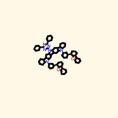 c1ccc(-c2nc(-c3ccccc3)nc(-n3c4cc5c6ccccc6n(-c6cccc(-c7cccc8c7oc7ccccc78)c6)c5cc4c4cc5c(cc43)c3ccccc3n5-c3cccc(-c4cccc5c4oc4ccccc45)c3)n2)cc1